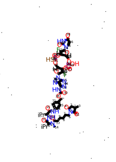 CC1CC(=O)N(CCCCCC(=O)N(C)C(C(=O)NC(C(=O)Nc2ccc(COC(=O)Nc3ncnc4c3ncn4[C@@H]3O[C@@H]4COP(=O)(S)O[C@H]5[C@@H](F)[C@H](n6ccc(=O)[nH]c6=O)O[C@@H]5COP(=O)(O)O[C@H]4[C@H]3F)cc2)C(C)C)C(C)C)C1=O